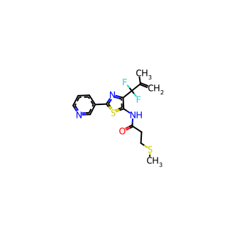 C=C(C)C(F)(F)c1nc(-c2cccnc2)sc1NC(=O)CCSC